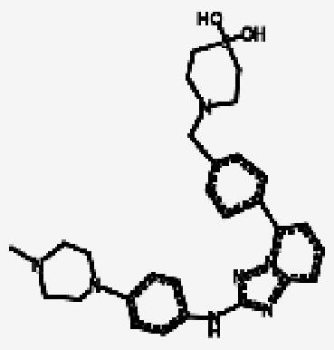 CN1CCN(c2ccc(Nc3nc4cccc(-c5ccc(CN6CCS(O)(O)CC6)cc5)n4n3)cc2)CC1